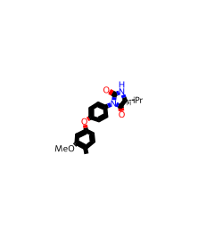 COc1cc(Oc2ccc(N3C(=O)N[C@H](C(C)C)C3=O)cc2)ccc1C